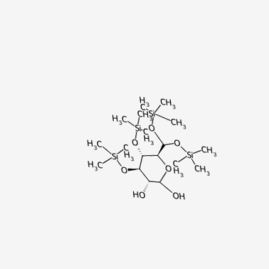 C[Si](C)(C)OC(O[Si](C)(C)C)[C@H]1OC(O)[C@H](O)[C@@H](O[Si](C)(C)C)[C@@H]1O[Si](C)(C)C